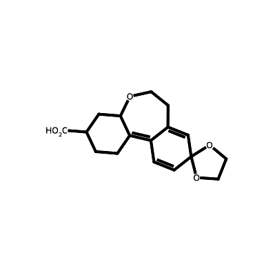 O=C(O)C1CCC2=C3C=CC4(C=C3CCOC2C1)OCCO4